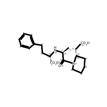 CCOC(=O)[C@H](CCc1ccccc1)N[C@@H](C)C(=O)N1CCCC[C@H]1CC(=O)O